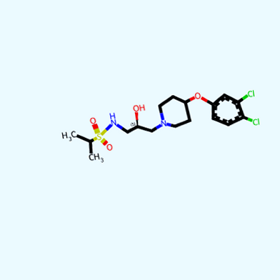 CC(C)S(=O)(=O)NC[C@@H](O)CN1CCC(Oc2ccc(Cl)c(Cl)c2)CC1